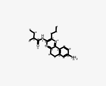 CCCc1nc2c(nc1NC(=O)C(C)CC)CCc1cc(N)ccc1-2